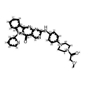 COCC(=O)N1CCN(c2ccc(Nc3ncc4c(=O)n5c(nc4n3)c3ccccc3n5-c3ccccn3)cc2)CC1